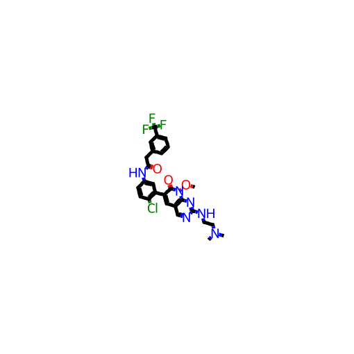 COn1c(=O)c(-c2cc(NC(=O)Cc3cccc(C(F)(F)F)c3)ccc2Cl)cc2cnc(NCCN(C)C)nc21